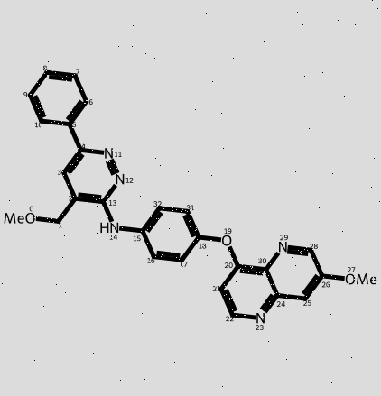 COCc1cc(-c2ccccc2)nnc1Nc1ccc(Oc2ccnc3cc(OC)cnc23)cc1